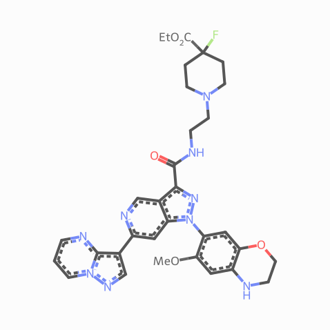 CCOC(=O)C1(F)CCN(CCNC(=O)c2nn(-c3cc4c(cc3OC)NCCO4)c3cc(-c4cnn5cccnc45)ncc23)CC1